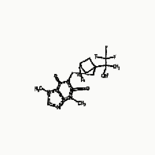 Cn1cnc2c1c(=O)n(C[C@H]1CC3(C(C)(O)C(F)(F)F)CC1C3)c(=O)n2C